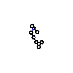 c1ccc(-c2cc3ccccc3n2-c2cccc(-c3ccc(-c4ccc5c6ccccc6c6ccccc6c5c4)nc3)c2)cc1